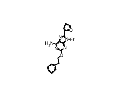 CCn1c(-c2ccco2)nc2c(N)nc(OCCc3ccccc3)nc21